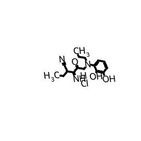 CCCN(CC(=O)C(=N)C(C#N)CC)c1cccc(O)c1O.Cl